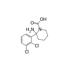 NC1(c2cccc(Cl)c2Cl)CCCCN1C(=O)O